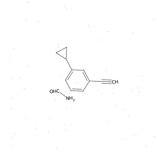 C#Cc1cccc(C2CC2)c1.NC=O